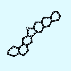 c1ccc2cc3cc4c(cc3cc2c1)oc1cc2c(ccc3ccccc32)cc14